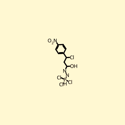 O=[N+]([O-])c1ccc(C(Cl)CC(O)N=N[PH](Cl)(Cl)Cl)cc1